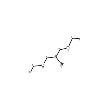 CCOCC(Br)COCC